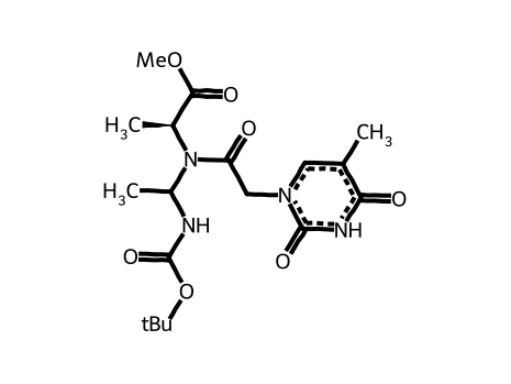 COC(=O)[C@H](C)N(C(=O)Cn1cc(C)c(=O)[nH]c1=O)C(C)NC(=O)OC(C)(C)C